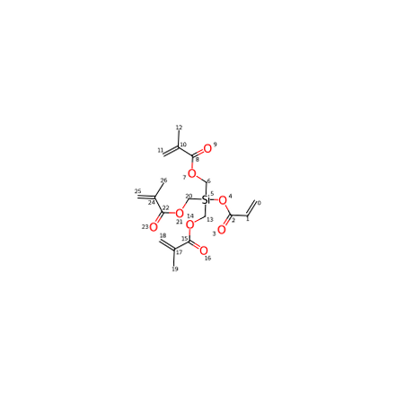 C=CC(=O)O[Si](COC(=O)C(=C)C)(COC(=O)C(=C)C)COC(=O)C(=C)C